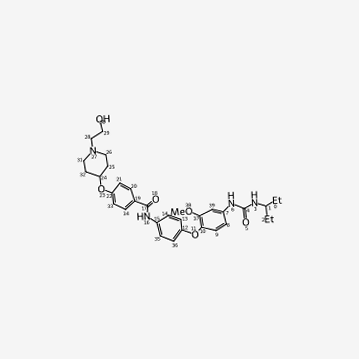 CCC(CC)NC(=O)Nc1ccc(Oc2ccc(NC(=O)c3ccc(OC4CCN(CCO)CC4)cc3)cc2)c(OC)c1